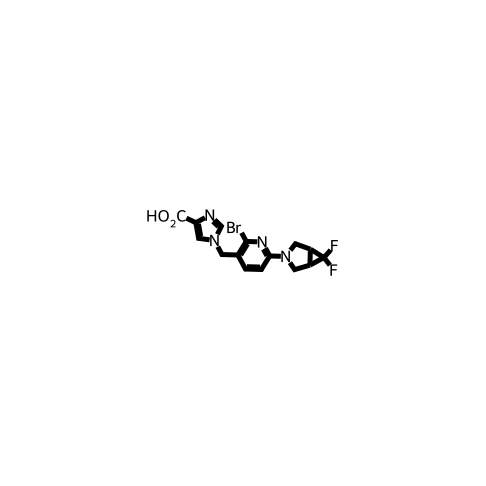 O=C(O)c1cn(Cc2ccc(N3CC4C(C3)C4(F)F)nc2Br)cn1